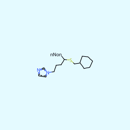 CCCCCCCCCC(CCCn1ccnc1)SCC1CCCCC1